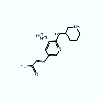 Cl.Cl.O=C(O)C=Cc1ccc(N[C@@H]2CCCNC2)nc1